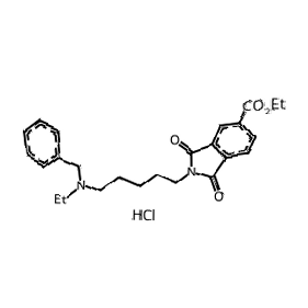 CCOC(=O)c1ccc2c(c1)C(=O)N(CCCCCN(CC)Cc1ccccc1)C2=O.Cl